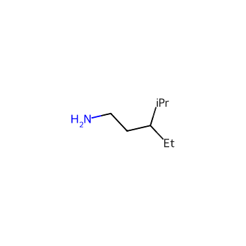 CCC(CCN)C(C)C